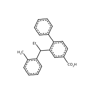 CCC(c1ccccc1C)c1cc(C(=O)O)ccc1-c1ccccc1